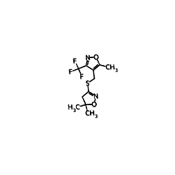 Cc1onc(C(F)(F)F)c1CSC1=NOC(C)(C)C1